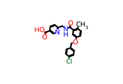 Cc1ccc(OCc2ccc(Cl)cc2)cc1C(=O)NCc1ccc(C(=O)O)cn1